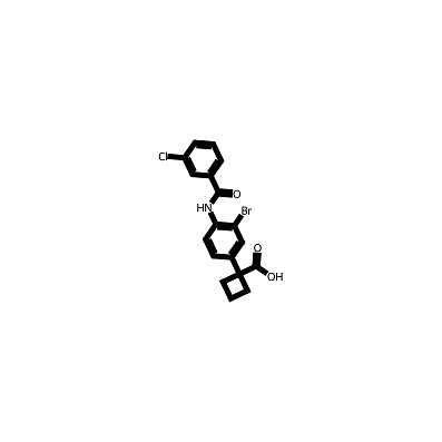 O=C(Nc1ccc(C2(C(=O)O)CCC2)cc1Br)c1cccc(Cl)c1